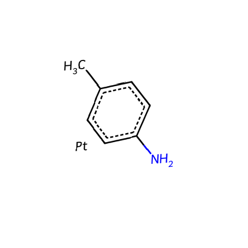 Cc1ccc(N)cc1.[Pt]